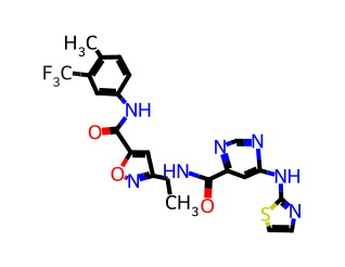 Cc1ccc(NC(=O)c2cc(C(C)NC(=O)c3cc(Nc4nccs4)ncn3)no2)cc1C(F)(F)F